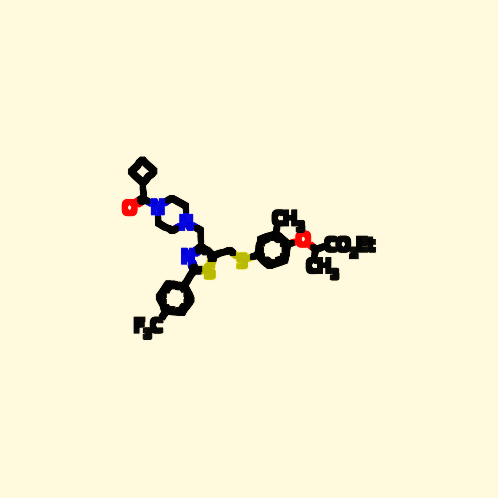 CCOC(=O)C(C)Oc1ccc(SCc2sc(-c3ccc(C(F)(F)F)cc3)nc2CN2CCN(C(=O)C3CCC3)CC2)cc1C